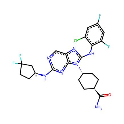 NC(=O)[C@H]1CC[C@H](n2c(Nc3c(F)cc(F)cc3Cl)nc3cnc(N[C@H]4CCC(F)(F)C4)nc32)CC1